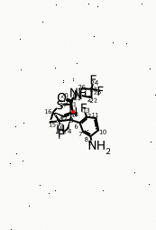 NC1=N[C@](CF)(c2cc(N)ccc2F)[C@@H]2C[C@]2(C=CC(=O)N2CC(F)(F)C2)S1